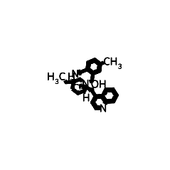 CC[C@H]1C[N+]2(Cc3cc(C)ccc3C#N)CCC1C[C@H]2[C@H](O)c1ccnc2ccccc12